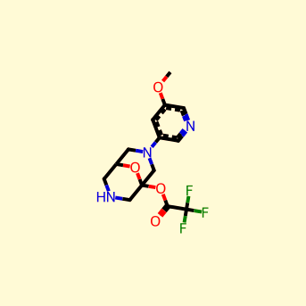 COc1cncc(N2CC3CNCC(OC(=O)C(F)(F)F)(C2)O3)c1